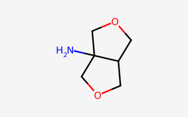 NC12COCC1COC2